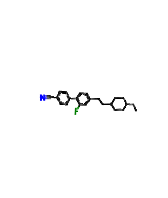 CCC1CCC(CCc2ccc(-c3ccc(C#N)cc3)c(F)c2)CC1